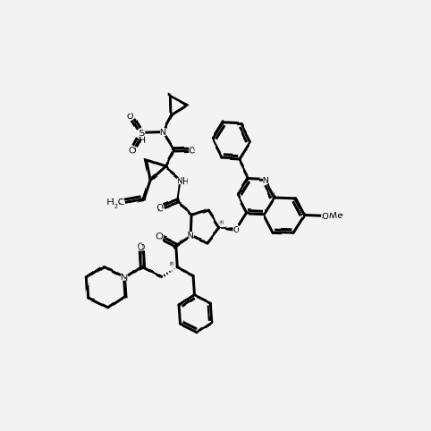 C=CC1CC1(NC(=O)C1C[C@@H](Oc2cc(-c3ccccc3)nc3cc(OC)ccc23)CN1C(=O)[C@@H](CC(=O)N1CCCCC1)Cc1ccccc1)C(=O)N(C1CC1)[SH](=O)=O